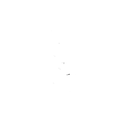 C[C@@H]1NC=CN(NCCC2(c3ccccn3)CCOC3(CCCC3)C2)[C@H]1C